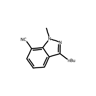 CCCCc1nn(C)c2c(C#N)cccc12